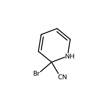 N#CC1(Br)C=CC=CN1